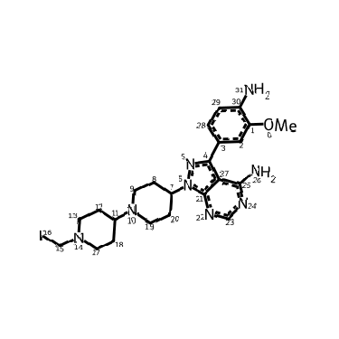 COc1cc(-c2nn(C3CCN(C4CCN(CI)CC4)CC3)c3ncnc(N)c23)ccc1N